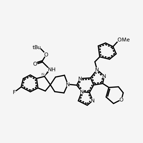 COc1ccc(Cn2nc(C3=CCOCC3)c3c2nc(N2CCC4(CC2)Cc2cc(F)ccc2[C@H]4NC(=O)OC(C)(C)C)n2ccnc32)cc1